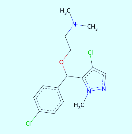 CN(C)CCOC(c1ccc(Cl)cc1)c1c(Cl)cnn1C